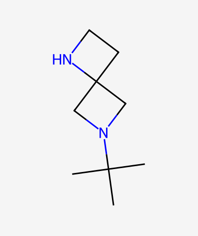 CC(C)(C)N1CC2(CCN2)C1